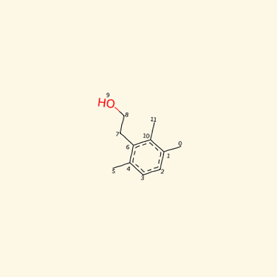 Cc1ccc(C)c(CCO)c1C